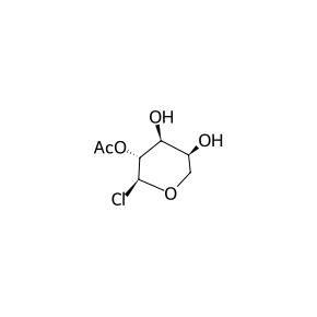 CC(=O)O[C@@H]1[C@@H](O)[C@@H](O)CO[C@H]1Cl